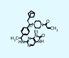 C=CC(=O)N1CCN([C@H](CC23CCC(C2)C3)c2ccc([C@H](C)Nc3ncc4[nH]c(=O)n(CC)c4n3)cc2)CC1